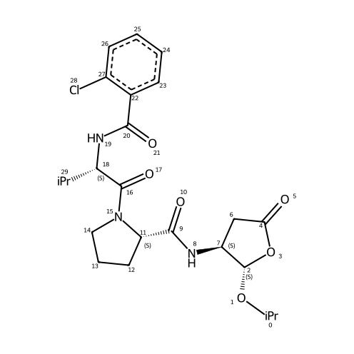 CC(C)O[C@H]1OC(=O)C[C@@H]1NC(=O)[C@@H]1CCCN1C(=O)[C@@H](NC(=O)c1ccccc1Cl)C(C)C